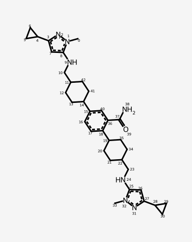 Cn1nc(C2CC2)cc1NCC1CCC(c2ccc(C3CCC(CNc4cc(C5CC5)nn4C)CC3)c(C(N)=O)c2)CC1